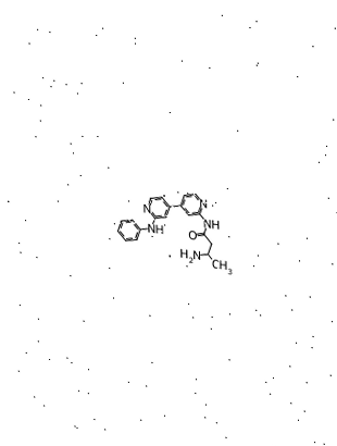 CC(N)CC(=O)Nc1cc(-c2ccnc(Nc3ccccc3)c2)ccn1